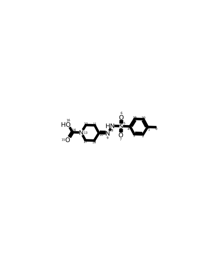 Cc1ccc(S(=O)(=O)NN=C2CCN(C(=O)O)CC2)cc1